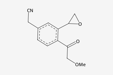 COCC(=O)c1ccc(CC#N)cc1C1CO1